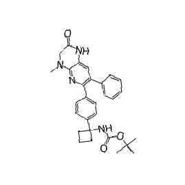 CN1CC(=O)Nc2cc(-c3ccccc3)c(-c3ccc(C4(NC(=O)OC(C)(C)C)CCC4)cc3)nc21